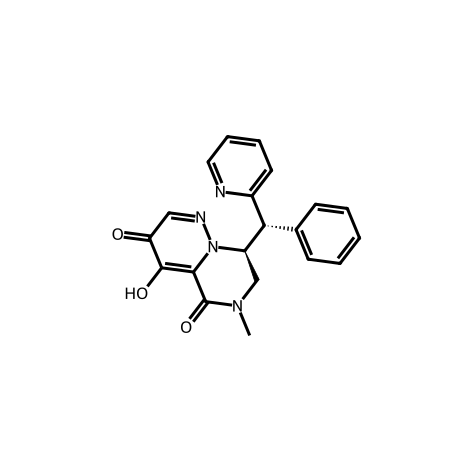 CN1C[C@H]([C@@H](c2ccccc2)c2ccccn2)n2ncc(=O)c(O)c2C1=O